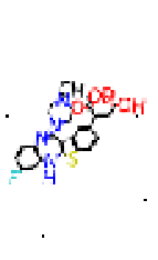 CN1CCN(C2=Nc3ccc(F)cc3Nc3sc4ccc(/C(=C/C(=O)O)C(=O)O)cc4c32)CC1